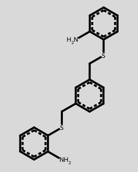 Nc1ccccc1SCc1cccc(CSc2ccccc2N)c1